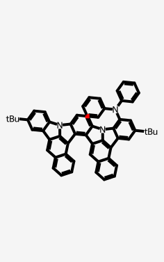 CC(C)(C)c1ccc2c(c1)c1cc3ccccc3c3c4c5c6cc7ccccc7c7c8cc(C(C)(C)C)cc(N(c9ccccc9)c9ccccc9)c8n(c5ccc4n2c13)c67